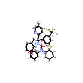 O=C(N[C@@](Cc1ccccc1)(c1cc(F)cc(C(F)(F)F)c1)c1ccc(Cl)cn1)N(c1ccccc1)C1CCCCC1